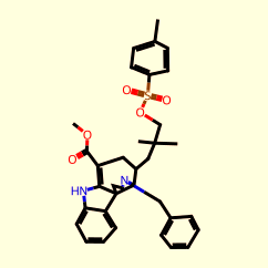 COC(=O)C1=C2Nc3ccccc3C23CCN(Cc2ccccc2)C3C(CC(C)(C)COS(=O)(=O)c2ccc(C)cc2)C1